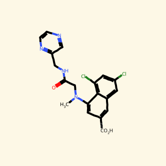 CN(CC(=O)NCc1cnccn1)c1cc(C(=O)O)cc2cc(Cl)cc(Cl)c12